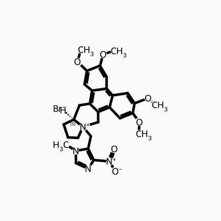 COc1cc2c3c(c4cc(OC)c(OC)cc4c2cc1OC)C[N+]1(Cc2c([N+](=O)[O-])ncn2C)CCC[C@H]1C3.[Br-]